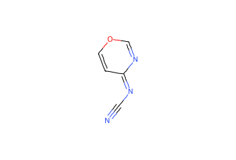 N#CN=c1ccocn1